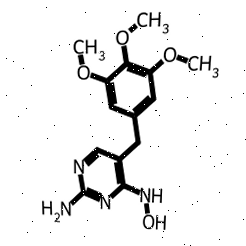 COc1cc(Cc2cnc(N)nc2NO)cc(OC)c1OC